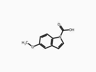 COc1ccc2c(ccn2C(=O)O)c1